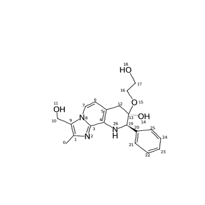 Cc1nc2c3c(ccn2c1CO)C[C@@](O)(OCCO)[C@@H](c1ccccc1)N3